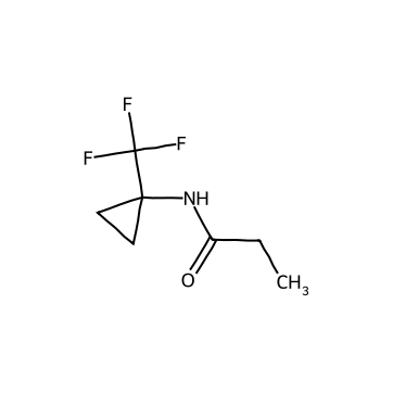 CCC(=O)NC1(C(F)(F)F)CC1